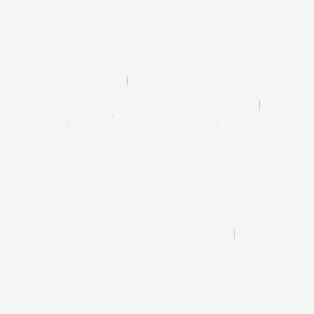 O=Cc1cccc(O)c1.Oc1ccccc1